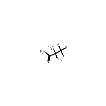 CC(C)(C(N)=S)C(F)(F)F